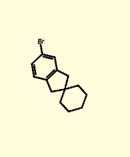 Brc1ccc2c(c1)CC1(CCCCC1)C2